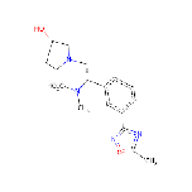 Cc1nc(-c2cccc([C@@H](CN3CC[C@H](O)C3)N(C)C(=O)O)c2)no1